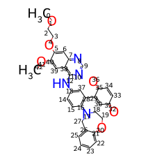 COCCOc1cc2ncnc(Nc3ccc(N4CCOc5ccccc5C4)c(C4=CC(=O)C=CC4=O)c3)c2cc1OC